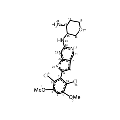 COc1cc(OC)c(Cl)c(-c2cc3cnc(N[C@@H]4COCC[C@@H]4N)nc3s2)c1Cl